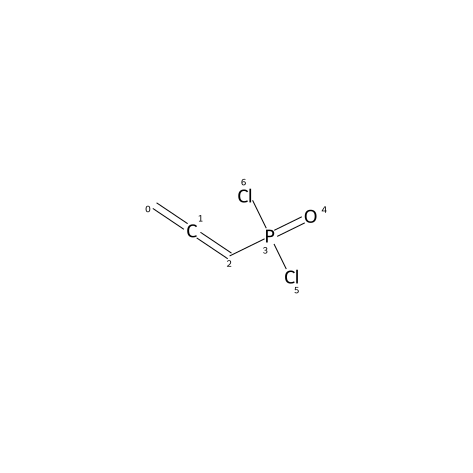 C=C=CP(=O)(Cl)Cl